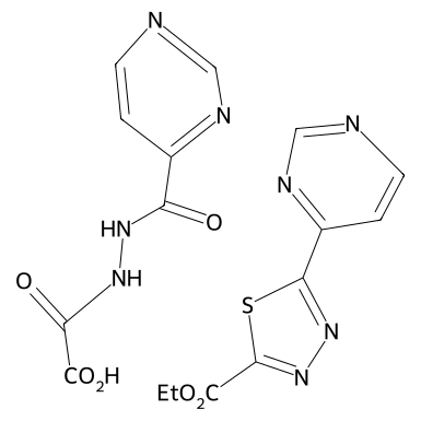 CCOC(=O)c1nnc(-c2ccncn2)s1.O=C(O)C(=O)NNC(=O)c1ccncn1